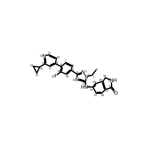 CCn1nc(-c2ccc(-c3ccnc(C4CC4)c3)c(F)c2)nc1Nc1ccc2c(c1)CNC2=O